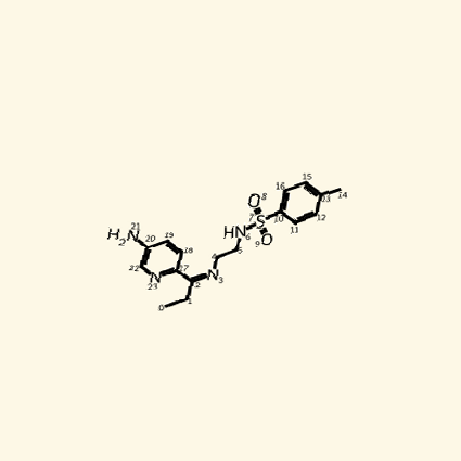 CC/C(=N/CCNS(=O)(=O)c1ccc(C)cc1)c1ccc(N)cn1